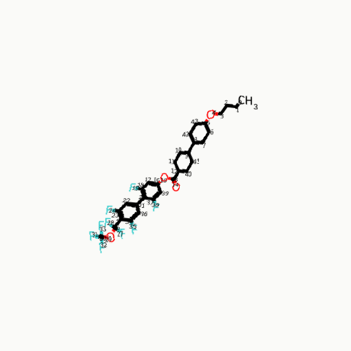 CCCCOC1CCC(C2CCC(C(=O)Oc3cc(F)c(-c4cc(F)c(C(F)(F)OC(F)(F)F)c(F)c4)c(F)c3)CC2)CC1